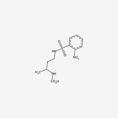 CC(CCNS(=O)(=O)c1ccccc1[N+](=O)[O-])NC(=O)O